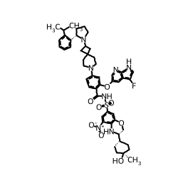 CC(C)c1ccccc1[C@@H]1CCCN1C1CC2(CCN(c3ccc(C(=O)NS(=O)(=O)c4cc5c(c([N+](=O)[O-])c4)N[C@@H]([C@H]4CC[C@](C)(O)CC4)CO5)c(Oc4cnc5[nH]cc(F)c5c4)c3)CC2)C1